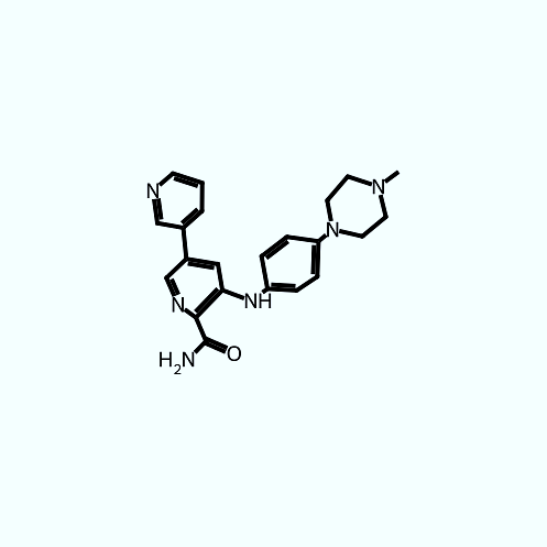 CN1CCN(c2ccc(Nc3cc(-c4cccnc4)cnc3C(N)=O)cc2)CC1